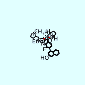 CCN1CC[C@H](NC(=O)N2[C@@H]3CC[C@H]2CN(c2nc(OCC4CCCN4C)nc4c(F)c(-c5cc(O)cc6ccccc56)ccc24)C3)C1